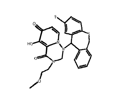 COCCN1CN(C2c3ccccc3CSc3ccc(F)cc32)n2ccc(=O)c(O)c2C1=O